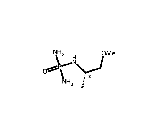 COC[C@H](C)NP(N)(N)=O